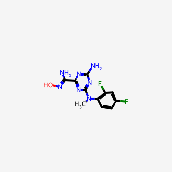 CN(c1nc(N)nc(/C(N)=N/O)n1)c1ccc(F)cc1F